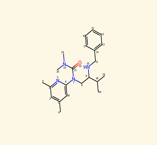 Cc1cc(C)nc(N(CC(NCc2ccccc2)C(C)C)C(=O)N(C)C)c1